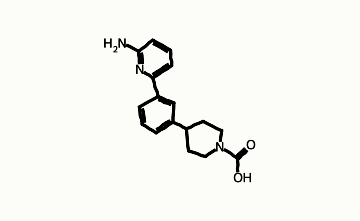 Nc1cccc(-c2cccc(C3CCN(C(=O)O)CC3)c2)n1